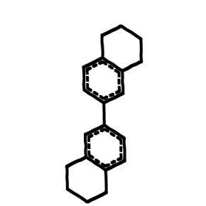 c1cc2c(cc1-c1ccc3c(c1)CCCC3)CCCC2